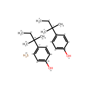 CCC(C)(C)c1ccc(O)cc1.CCC(C)(C)c1ccc(O)cc1.S